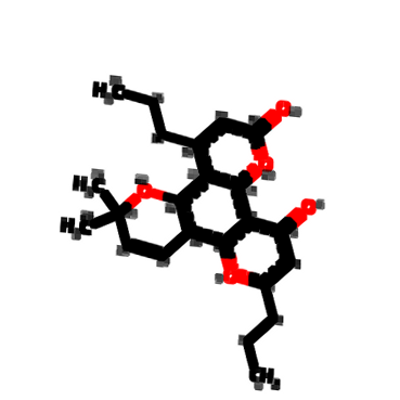 CCCc1cc(=O)c2c(o1)c1c(c3c(CCC)[c]c(=O)oc32)OC(C)(C)C=C1